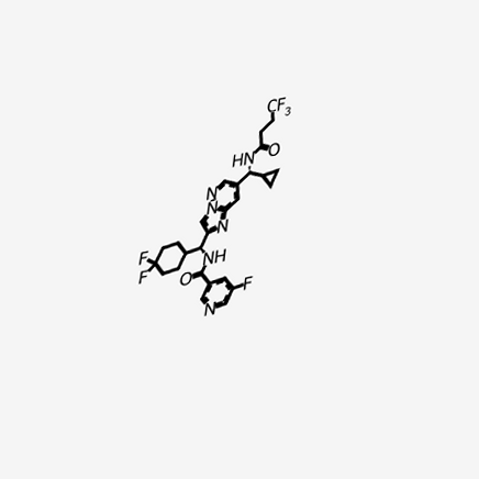 O=C(CCC(F)(F)F)N[C@@H](c1cnn2cc([C@@H](NC(=O)c3cncc(F)c3)C3CCC(F)(F)CC3)nc2c1)C1CC1